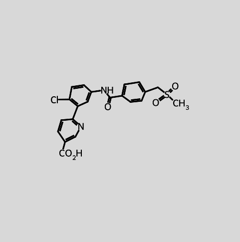 CS(=O)(=O)Cc1ccc(C(=O)Nc2ccc(Cl)c(-c3ccc(C(=O)O)cn3)c2)cc1